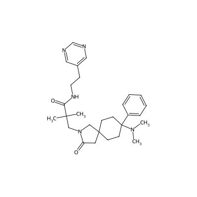 CN(C)C1(c2ccccc2)CCC2(CC1)CC(=O)N(CC(C)(C)C(=O)NCCc1cncnc1)C2